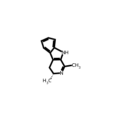 CC1=N[C@H](C)Cc2c1[nH]c1ccccc21